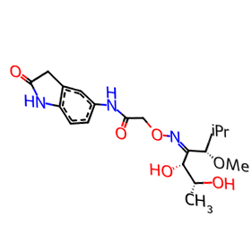 CO[C@H](/C(=N/OCC(=O)Nc1ccc2c(c1)CC(=O)N2)[C@@H](O)[C@@H](C)O)C(C)C